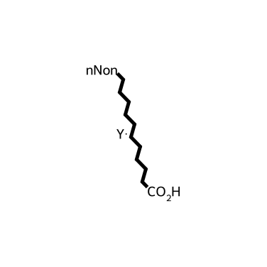 CCCCCCCCCCCCCCCCCCCC(=O)O.[Y]